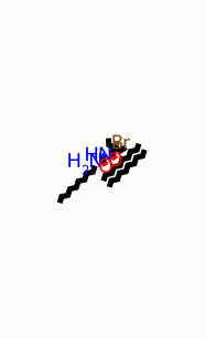 CCC(Br)(CC)C(=O)NC(N)=O.CCCCCCCCCC.CCCCCCCCCC.CCCCCCCCCC